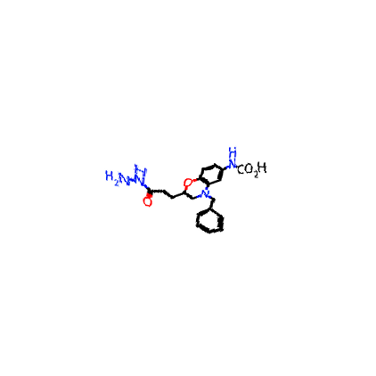 NNC(=O)CCC1CN(Cc2ccccc2)c2cc(NC(=O)O)ccc2O1